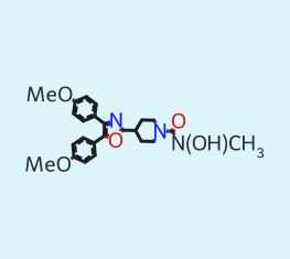 COc1ccc(-c2nc(C3CCN(C(=O)N(C)O)CC3)oc2-c2ccc(OC)cc2)cc1